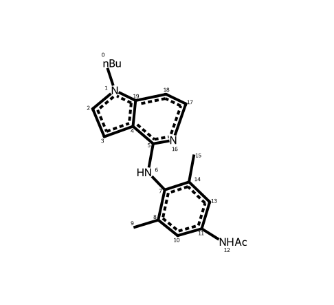 CCCCn1ccc2c(Nc3c(C)cc(NC(C)=O)cc3C)nccc21